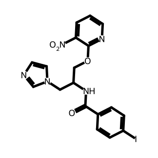 O=C(NC(COc1ncccc1[N+](=O)[O-])Cn1ccnc1)c1ccc(I)cc1